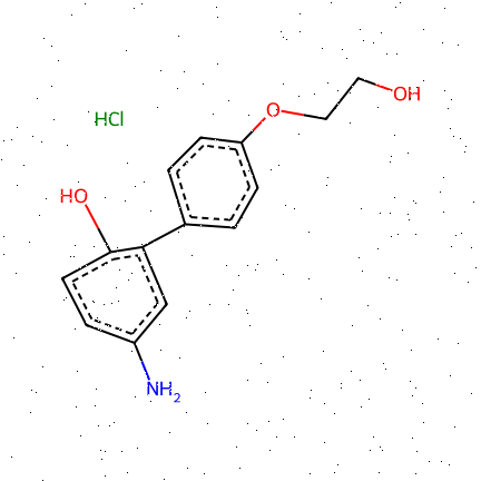 Cl.Nc1ccc(O)c(-c2ccc(OCCO)cc2)c1